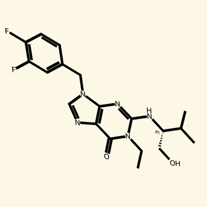 CCn1c(N[C@@H](CO)C(C)C)nc2c(ncn2Cc2ccc(F)c(F)c2)c1=O